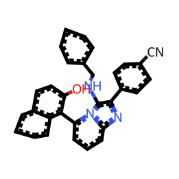 N#Cc1ccc(-c2nc3cccc(-c4c(O)ccc5ccccc45)n3c2NCc2ccccc2)cc1